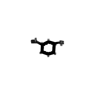 CCc1cccc(C(C)(C)C)c1